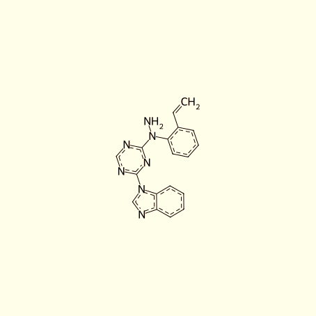 C=Cc1ccccc1N(N)c1ncnc(-n2cnc3ccccc32)n1